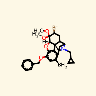 Bc1cc(OCc2ccccc2)c2c3c1CC1C4CC(Br)C(OC)(OC)[C@@H](O2)[C@@]34CCN1CC1CC1